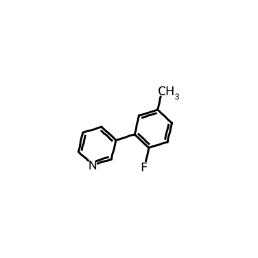 Cc1ccc(F)c(-c2cccnc2)c1